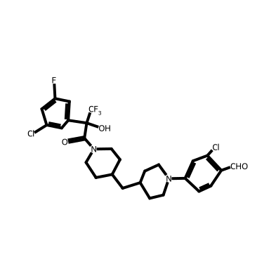 O=Cc1ccc(N2CCC(CC3CCN(C(=O)C(O)(c4cc(F)cc(Cl)c4)C(F)(F)F)CC3)CC2)cc1Cl